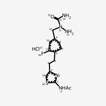 CC(=O)Nc1nc(CCc2ccc(CN(N)C(N)=O)cc2F)cs1.Cl